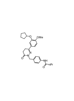 CCCC(=O)Nc1ccc(CN2N=C(c3ccc(OC)c(OC4CCCC4)c3)CCC2=O)cc1